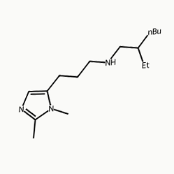 CCCCC(CC)CNCCCc1cnc(C)n1C